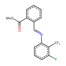 COC(=O)c1ccccc1C=Nc1cccc(F)c1C(F)(F)F